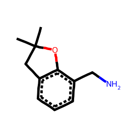 CC1(C)Cc2cccc(CN)c2O1